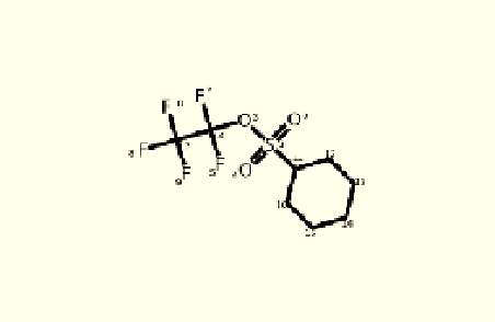 O=S(=O)(OC(F)(F)C(F)(F)F)C1CCCCC1